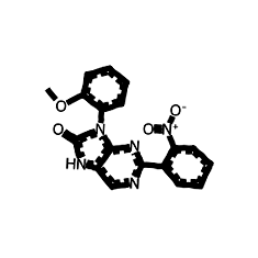 COc1ccccc1-n1c(=O)[nH]c2cnc(-c3ccccc3[N+](=O)[O-])nc21